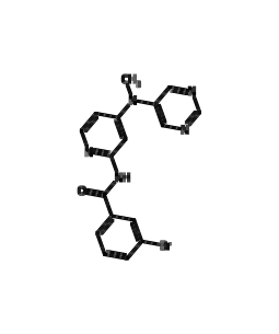 CN(c1cncnc1)c1ccnc(NC(=O)c2cccc(Br)c2)c1